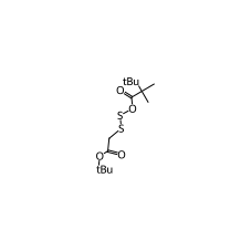 CC(C)(C)OC(=O)CSSOC(=O)C(C)(C)C(C)(C)C